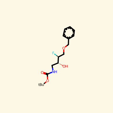 CC(C)(C)OC(=O)NC[C@@H](O)[C@@H](F)COCc1ccccc1